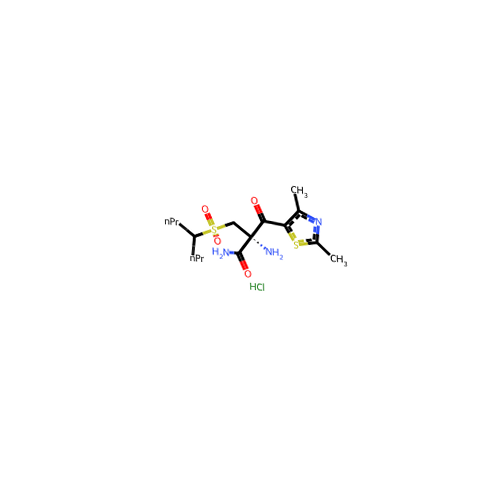 CCCC(CCC)S(=O)(=O)C[C@](N)(C(N)=O)C(=O)c1sc(C)nc1C.Cl